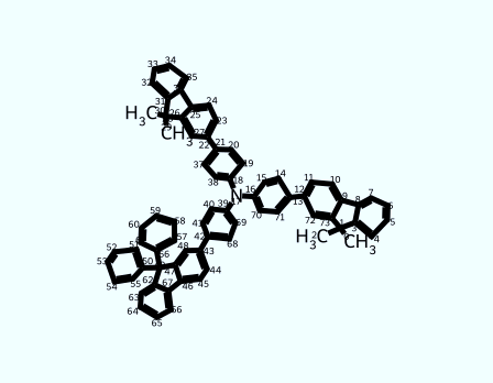 CC1(C)c2ccccc2-c2ccc(-c3ccc(N(c4ccc(-c5ccc6c(c5)C(C)(C)c5ccccc5-6)cc4)c4ccc(-c5ccc6c(c5)C(c5ccccc5)(c5ccccc5)c5ccccc5-6)cc4)cc3)cc21